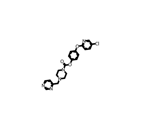 O=C(Oc1ccc(Oc2ccc(Cl)cn2)cc1)N1CCN(Cc2ccncn2)CC1